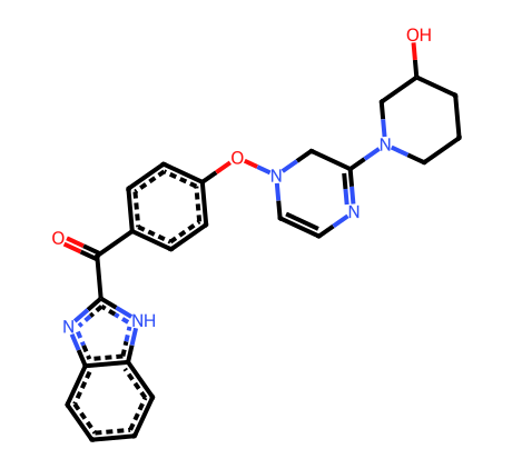 O=C(c1ccc(ON2C=CN=C(N3CCCC(O)C3)C2)cc1)c1nc2ccccc2[nH]1